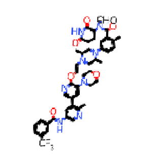 Cc1ccc(N2CC(C)N(CCOc3ncc(-c4cc(NC(=O)c5cccc(C(F)(F)F)c5)cnc4C)cc3N3CCOCC3)CC2C)cc1C(=O)N(C=O)C1CCC(=O)NC1=O